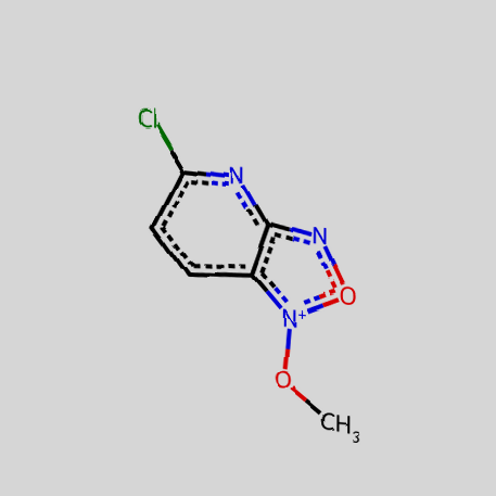 CO[n+]1onc2nc(Cl)ccc21